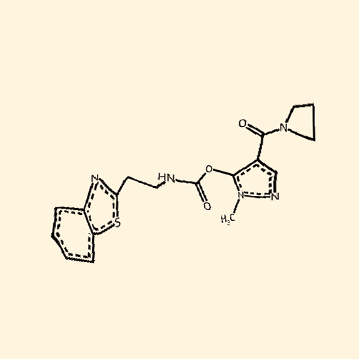 Cn1ncc(C(=O)N2CCC2)c1OC(=O)NCCc1nc2ccccc2s1